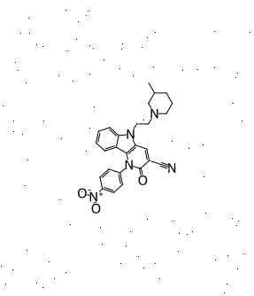 CC1CCCN(CCn2c3ccccc3c3c2cc(C#N)c(=O)n3-c2ccc([N+](=O)[O-])cc2)C1